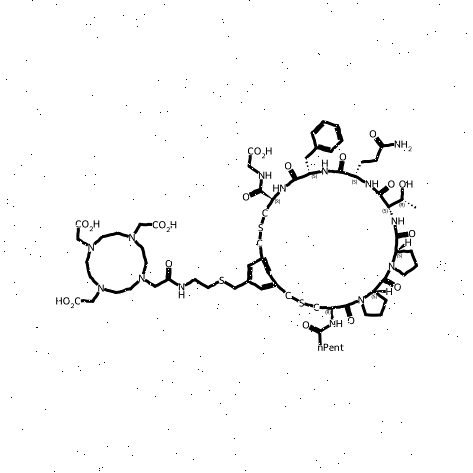 CCCCCC(=O)N[C@H]1CSCc2cc(CSCCNC(=O)CN3CCN(CC(=O)O)CCN(CC(=O)O)CCN(CC(=O)O)CC3)cc(c2)CSC[C@@H](C(=O)NCC(=O)O)NC(=O)[C@H](Cc2ccccc2)NC(=O)[C@H](CCC(N)=O)NC(=O)[C@H]([C@@H](C)O)NC(=O)[C@@H]2CCCN2C(=O)[C@@H]2CCCN2C1=O